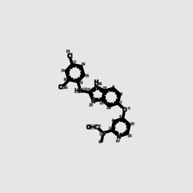 CN(C=O)c1cc(Oc2ccc3[nH]c(Nc4ccc(Cl)cc4Cl)nc3c2)ccn1